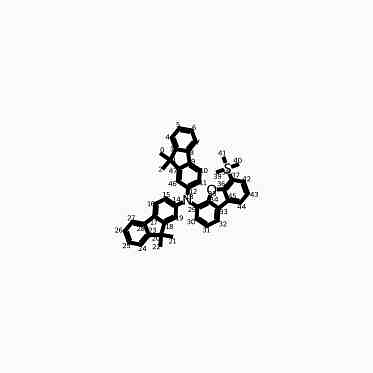 CC1(C)c2ccccc2-c2ccc(N(c3ccc4c(c3)C(C)(C)c3ccccc3-4)c3cccc4c3oc3c(S(C)(C)C)cccc34)cc21